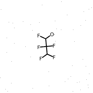 [O]C(F)C(F)(F)C(F)F